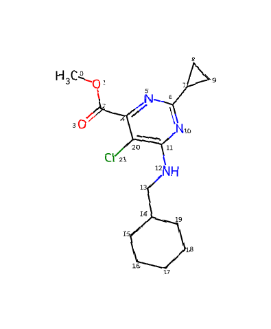 COC(=O)c1nc(C2CC2)nc(NCC2CCCCC2)c1Cl